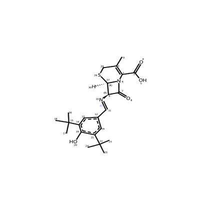 CC1=C(C(=O)O)N2C(=O)[C@@H](/N=C/c3cc(C(C)(C)C)c(O)c(C(C)(C)C)c3)[C@H]2SC1